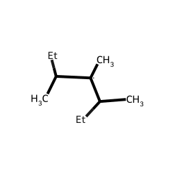 CCC(C)[C](C)C(C)CC